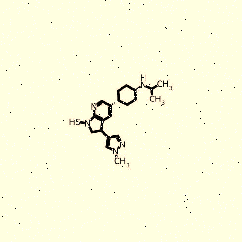 CC(C)N[C@H]1CC[C@H](c2cnc3c(c2)C(c2cnn(C)c2)CN3S)CC1